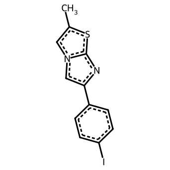 Cc1cn2cc(-c3ccc(I)cc3)nc2s1